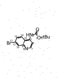 CC(C)(C)OC(=O)Nc1ccnc2cc(Br)ccc12